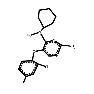 Nc1ncc(Oc2ccc(Cl)cc2Cl)c(N(O)C2CCCCC2)n1